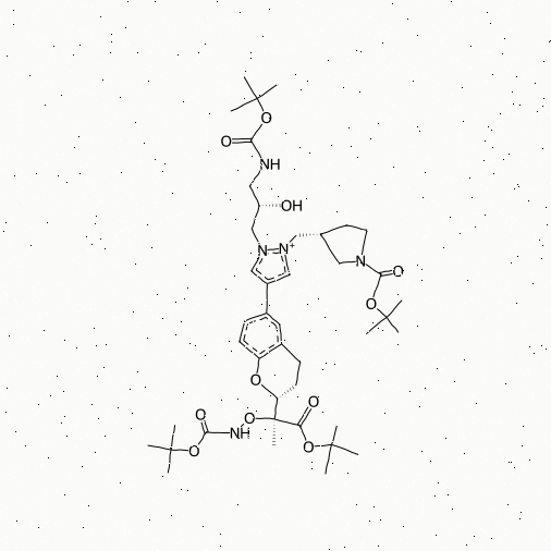 CC(C)(C)OC(=O)NC[C@H](O)Cn1cc(-c2ccc3c(c2)CC[C@H]([C@](C)(ONC(=O)OC(C)(C)C)C(=O)OC(C)(C)C)O3)c[n+]1C[C@@H]1CCN(C(=O)OC(C)(C)C)C1